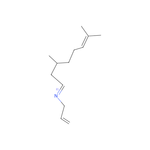 C=CC/N=C/CC(C)CCC=C(C)C